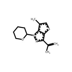 C=C(C)c1nn(C2CCCCO2)c2c(C)csc12